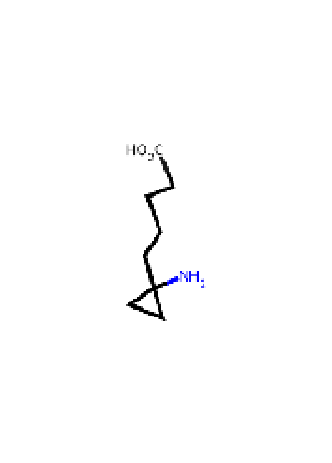 NC1(CCCCC(=O)O)CC1